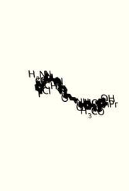 CC(C)c1cc(C(=O)N(C)Cc2ccc(C(=O)NCCCCC(=O)N3CCC(n4cc(-c5cnc(N)c(OC(C)c6c(Cl)ccc(F)c6Cl)c5)cn4)CC3)cc2)c(O)cc1O